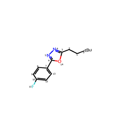 CC(C)(C)[CH]Cc1nnc(-c2ccc(F)cc2)o1